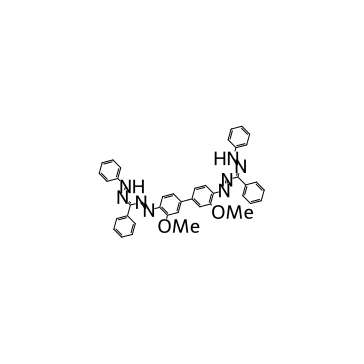 COc1cc(-c2ccc(/N=N/C(=N\Nc3ccccc3)c3ccccc3)c(OC)c2)ccc1/N=N/C(=N\Nc1ccccc1)c1ccccc1